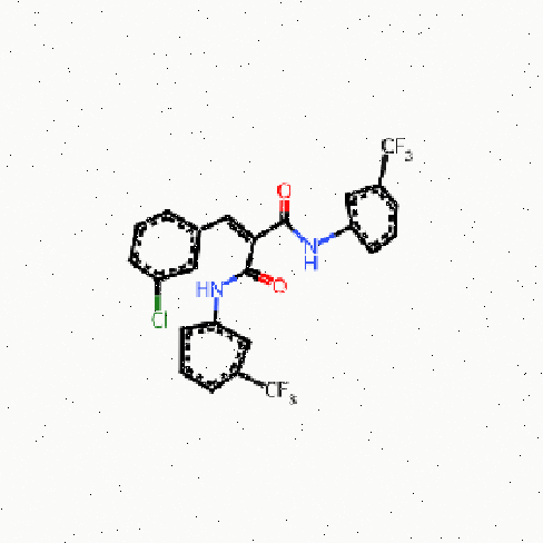 O=C(Nc1cccc(C(F)(F)F)c1)C(=Cc1cccc(Cl)c1)C(=O)Nc1cccc(C(F)(F)F)c1